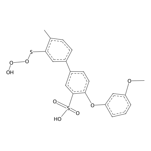 COc1cccc(Oc2ccc(-c3ccc(C)c(SOOO)c3)cc2S(=O)(=O)O)c1